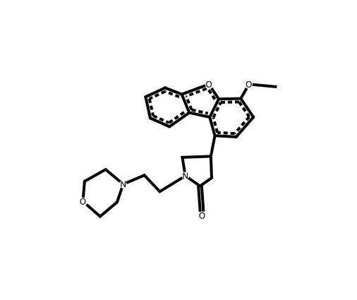 COc1ccc(C2CC(=O)N(CCN3CCOCC3)C2)c2c1oc1ccccc12